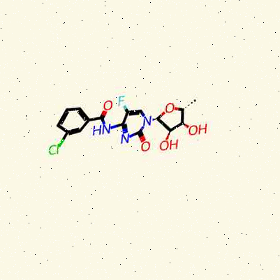 C[C@H]1O[C@@H](n2cc(F)c(NC(=O)c3cccc(Cl)c3)nc2=O)[C@H](O)[C@@H]1O